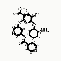 NC(=O)c1cc(F)c(NC2CCCC[C@@H]2N)nc1Nc1cncc(NC(=O)c2ccncc2)c1